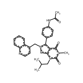 CC(=O)Nc1ccc(-c2c3c(=O)n(C)c(=O)n(CC(C)C)c3nn2Cc2ccnc3ccccc23)cc1